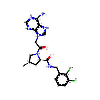 C[C@@H]1C[C@H](C(=O)NCc2cccc(Cl)c2F)N(C(=O)Cn2cnc3c(N)ncnc32)C1